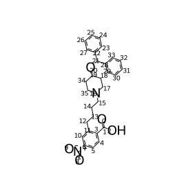 O=C(O)c1ccc([N+](=O)[O-])cc1CCCCN1CCC(OC(c2ccccc2)c2ccccc2)CC1